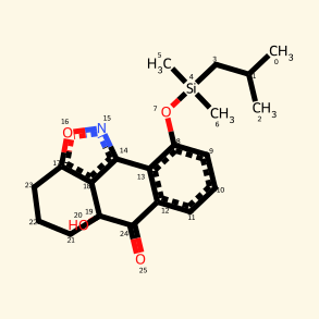 CC(C)C[Si](C)(C)Oc1cccc2c1-c1noc3c1C(O)(CCC3)C2=O